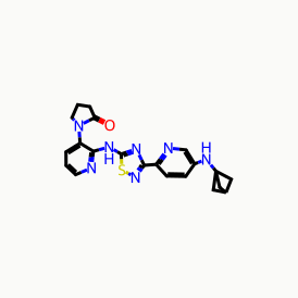 O=C1CCCN1c1cccnc1Nc1nc(-c2ccc(NC34CC(C3)C4)cn2)ns1